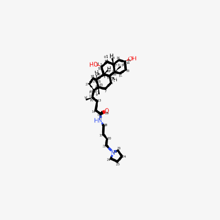 C[C@H]1[C@@H](O)[C@@H]2[C@H](CC[C@]3(C)[C@@H]([C@H](C)CCC(=O)NCCCCN4CCCC4)CC[C@@H]23)[C@@]2(C)CC[C@@H](O)C[C@@H]12